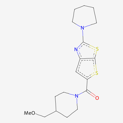 COCC1CCN(C(=O)c2cc3nc(N4CCCCC4)sc3s2)CC1